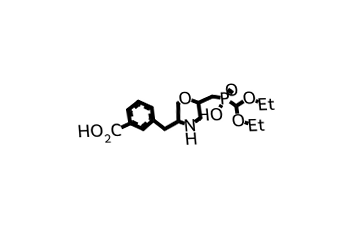 CCOC(OCC)P(=O)(O)CC1CNC(Cc2cccc(C(=O)O)c2)CO1